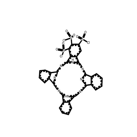 O=S(=O)(Cl)c1cc2c3nc4nc(nc5[nH]c(nc6nc(nc([nH]3)c2c(S(=O)(=O)Cl)c1S(=O)(=O)Cl)-c1ccccc1-6)c1ccccc51)-c1ccccc1-4